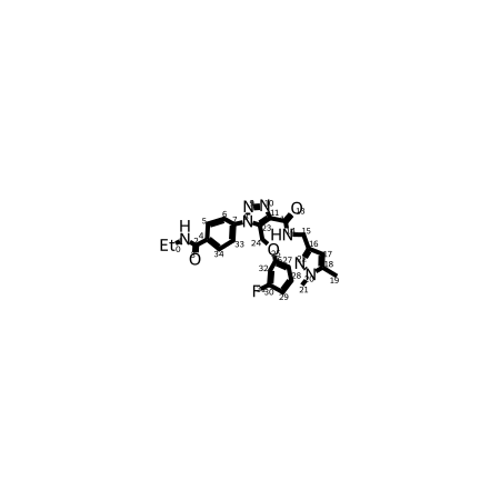 CCNC(=O)c1ccc(-n2nnc(C(=O)NCc3cc(C)n(C)n3)c2COc2cccc(F)c2)cc1